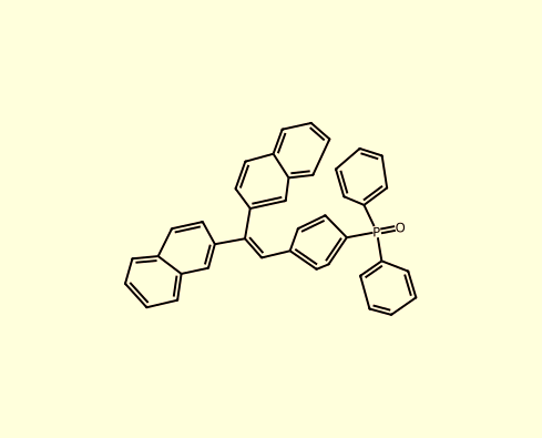 O=P(c1ccccc1)(c1ccccc1)c1ccc(C=C(c2ccc3ccccc3c2)c2ccc3ccccc3c2)cc1